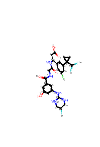 O=C(O)C[C@H](NC(=O)CNC(=O)c1cc(O)cc(NC2NCC(F)CN2)c1)c1cc(Cl)cc(C2(C(F)F)CC2)c1